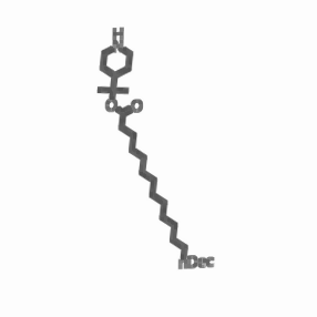 CCCCCCCCCCCCCCCCCCCCCCC(=O)OC(C)(C)C1CCNCC1